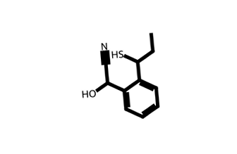 CCC(S)c1ccccc1C(O)C#N